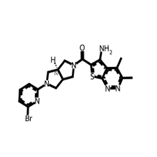 Cc1nnc2sc(C(=O)N3CC4CN(c5cccc(Br)n5)C[C@H]4C3)c(N)c2c1C